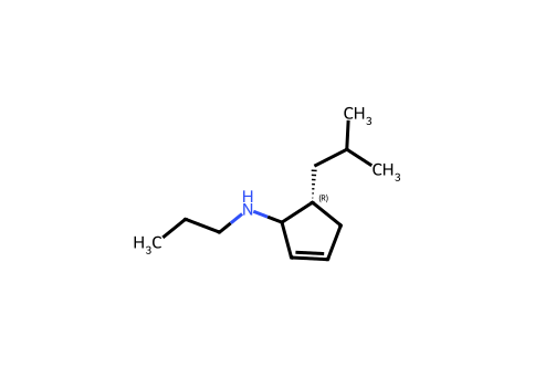 CCCNC1C=CC[C@H]1CC(C)C